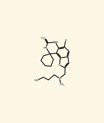 C=C1Nc2c(Cl)cc3cc(CN(C)CCCO)oc3c2C2(CCCCC2)N1